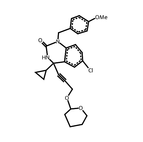 COc1ccc(CN2C(=O)NC(C#CCOC3CCCCO3)(C3CC3)c3cc(Cl)ccc32)cc1